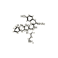 CC(=O)NC(Cc1ccc(O)cc1)C(=O)N[C@H](CCCCN)C(=O)NC(Cc1ccccc1)C(N)=O